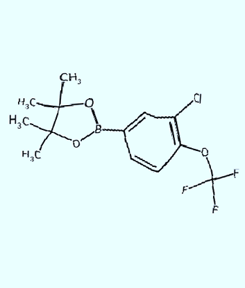 CC1(C)OB(c2ccc(OC(F)(F)F)c(Cl)c2)OC1(C)C